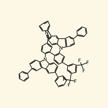 N#Cc1ccc(-n2c3ccc(-c4ccccc4)cc3c3cc(-c4ccccc4)ccc32)c(-c2ccc(-c3cc(C(F)(F)F)cc(C(F)(F)F)c3)cc2-n2c3ccc(-c4ccccc4)cc3c3cc(-c4ccccc4)ccc32)c1